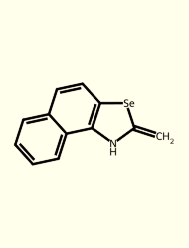 C=C1Nc2c(ccc3ccccc23)[Se]1